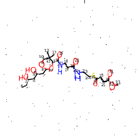 CCC(O)CC(O)CC1OCC(C)(C)[C@H](C(=O)NCCC(=O)NCCSC(=O)/C=C/C(=O)OC)O1